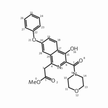 COC(=O)Cc1nc(C(=O)N2CCOCC2)c(O)c2ccc(Oc3ccccc3)cc12